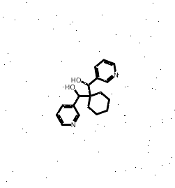 OC(c1cccnc1)C1(C(O)c2cccnc2)CCCCC1